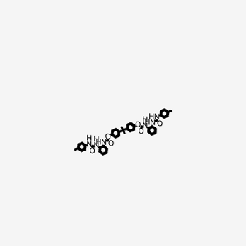 Cc1ccc(NC(=O)Nc2ccccc2NC(=O)Oc2ccc(C(C)(C)c3ccc(OC(=O)Nc4ccccc4NC(=O)Nc4ccc(C)cc4)cc3)cc2)cc1